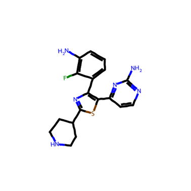 Nc1nccc(-c2sc(C3CCNCC3)nc2-c2cccc(N)c2F)n1